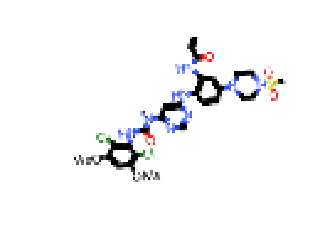 C=CC(=O)Nc1cc(N2CCN(S(C)(=O)=O)CC2)ccc1Nc1cc(N(C)C(=O)Nc2c(Cl)c(OC)cc(OC)c2Cl)ncn1